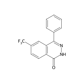 O=c1[nH]nc(-c2ccccc2)c2cc(C(F)(F)F)ccc12